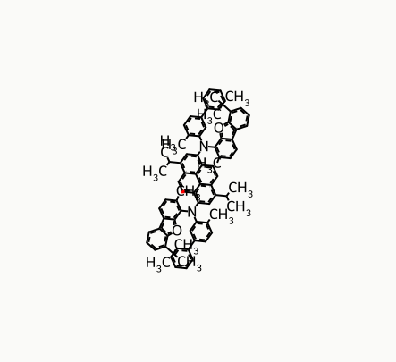 Cc1ccc(-c2ccccc2)cc1N(c1cc(C(C)C)c2ccc3c(N(c4cc(-c5ccccc5)ccc4C)c4c(C)ccc5c4oc4c(C(C)(C)C)cccc45)cc(C(C)C)c4ccc1c2c43)c1c(C)ccc2c1oc1c(C(C)(C)C)cccc12